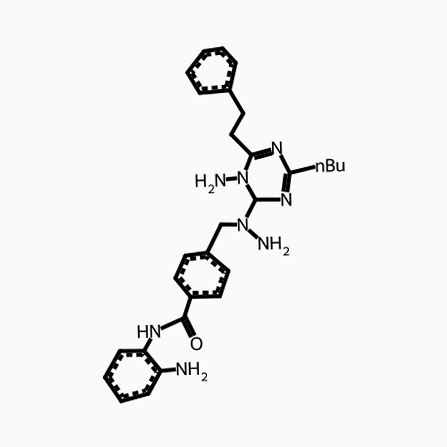 CCCCC1=NC(N(N)Cc2ccc(C(=O)Nc3ccccc3N)cc2)N(N)C(CCc2ccccc2)=N1